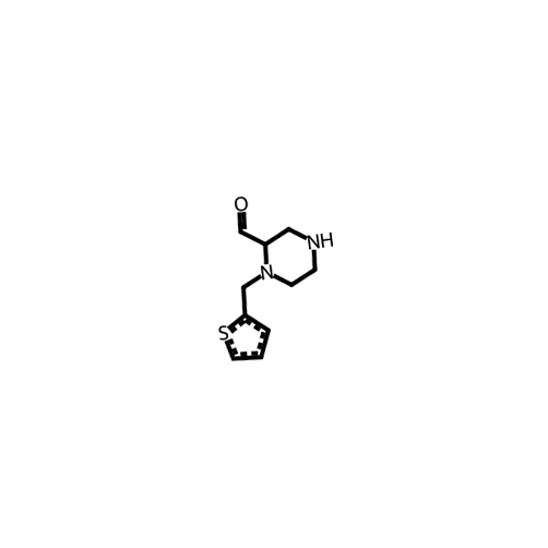 O=CC1CNCCN1Cc1cccs1